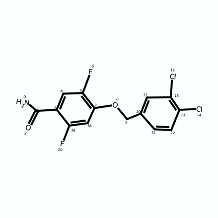 NC(=O)c1cc(F)c(OCc2ccc(Cl)c(Cl)c2)cc1F